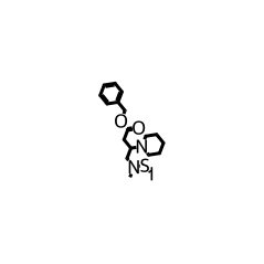 CN(CC(CC(=O)OCc1ccccc1)N1CCCCC1)SI